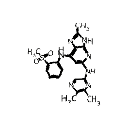 Cc1nc2c(Nc3ccccc3S(C)(=O)=O)cc(Nc3cnc(C)c(C)n3)nc2[nH]1